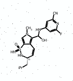 CC(C)C[C@H]1C=Cc2c(cn(C)c2C(O)Nc2cc(F)nc(C#N)c2)S(=N)(=O)N1